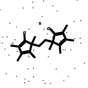 CC1=C(C)C(C)(CCC2(C)C(C)=C(C)C(C)=C2Cl)C(Cl)=C1C.[Ti]